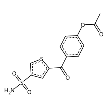 CC(=O)Oc1ccc(C(=O)c2cc(S(N)(=O)=O)cs2)cc1